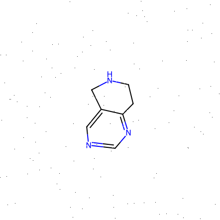 c1ncc2c(n1)CCNC2